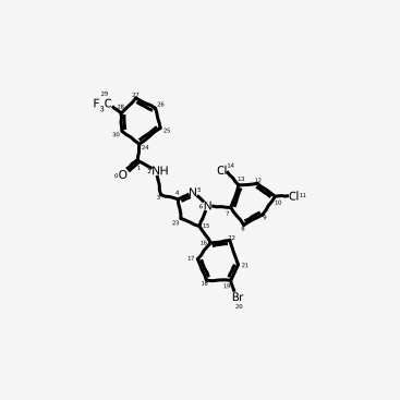 O=C(NCC1=NN(c2ccc(Cl)cc2Cl)C(c2ccc(Br)cc2)C1)c1cccc(C(F)(F)F)c1